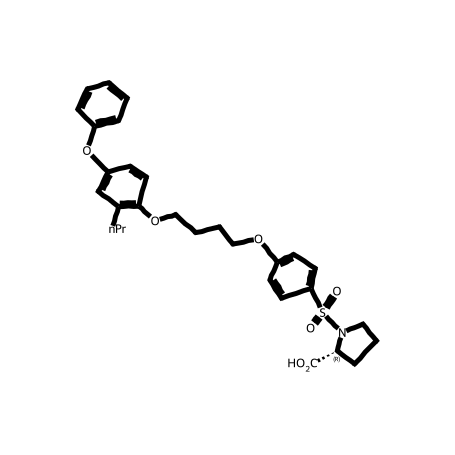 CCCc1cc(Oc2ccccc2)ccc1OCCCCOc1ccc(S(=O)(=O)N2CCC[C@@H]2C(=O)O)cc1